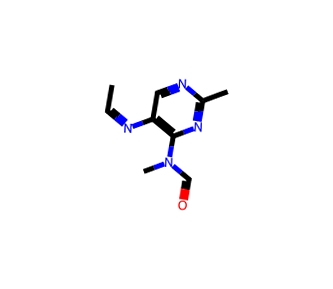 C/C=N\c1cnc(C)nc1N(C)C=O